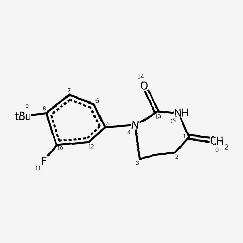 C=C1CCN(c2ccc(C(C)(C)C)c(F)c2)C(=O)N1